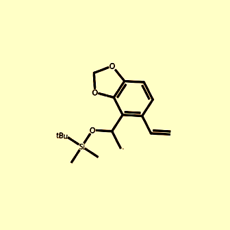 [CH2]C(O[Si](C)(C)C(C)(C)C)c1c(C=C)ccc2c1OCO2